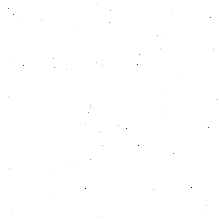 Cc1cn(CCC2OCCCO2)c2ccccc12